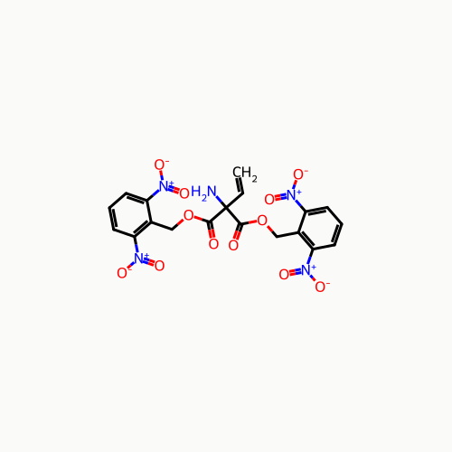 C=CC(N)(C(=O)OCc1c([N+](=O)[O-])cccc1[N+](=O)[O-])C(=O)OCc1c([N+](=O)[O-])cccc1[N+](=O)[O-]